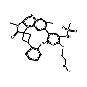 COc1ccccc1N1CC2(C1)C(=O)N(C)c1cnc3cc(F)c(-c4cnc(OCCNC(C)C)c(NS(C)(=O)=O)c4)cc3c12